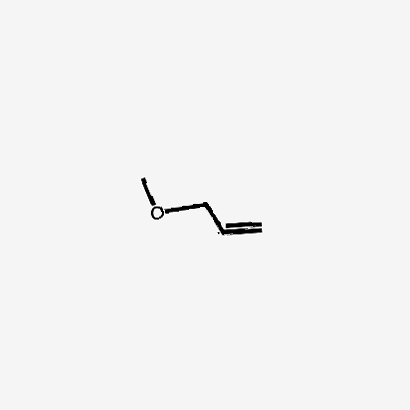 C=[C]COC